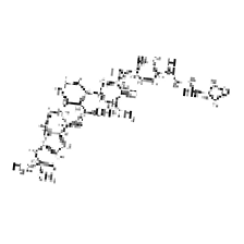 Cn1cc(-c2ccnc(-n3ccn4c5c(cc4c3=O)CC(C)(C)C5)c2CO)cc(Nc2ccc(NCCNC3COC3)cn2)c1=O